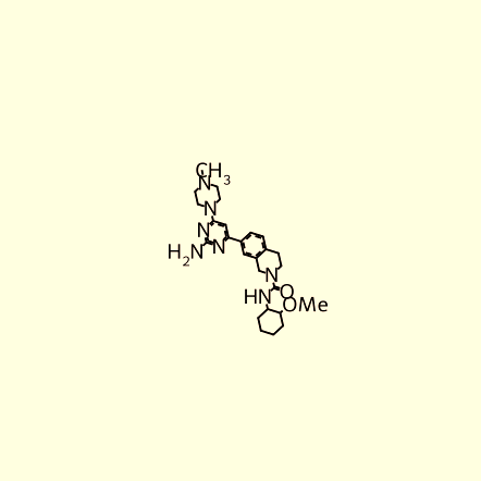 COC1CCCCC1NC(=O)N1CCc2ccc(-c3cc(N4CCN(C)CC4)nc(N)n3)cc2C1